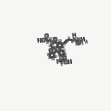 N=C(N)NCCC#Cc1ccc2c(c1)C(=O)N(CCC(=O)O)CC(=O)N2C(c1ccccc1)c1ccccc1.O=C(O)C(F)(F)F